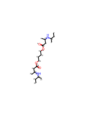 CCC(C)NC(C)CC(=O)OCCCCOC(=O)CC(C)NC(C)CC